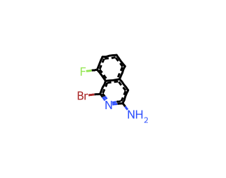 Nc1cc2cccc(F)c2c(Br)n1